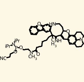 CC(C)N(C(C)C)P(OCCC#N)OCCN(C)C(=O)CCCCCC1(C)C(=N)C2=Cc3cc4c5c(c3OC2CCNc2cc3oc6ccccc6c3cc21)CCCN5CCC4